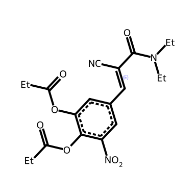 CCC(=O)Oc1cc(/C=C(\C#N)C(=O)N(CC)CC)cc([N+](=O)[O-])c1OC(=O)CC